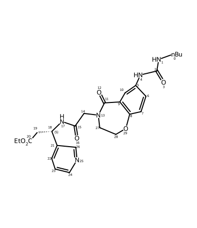 CCCCNC(=O)Nc1ccc2c(c1)C(=O)N(CC(=O)N[C@@H](CC(=O)OCC)c1cccnc1)CCO2